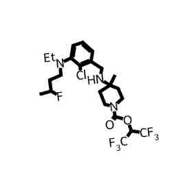 CCN(CCC(C)F)c1cccc(CNC2(C)CCN(C(=O)OC(C(F)(F)F)C(F)(F)F)CC2)c1Cl